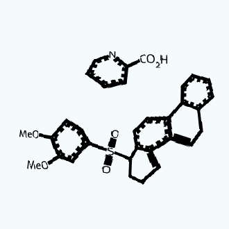 COc1ccc(S(=O)(=O)C2CCC=c3c2ccc2c3=CCc3ccccc3-2)cc1OC.O=C(O)c1ccccn1